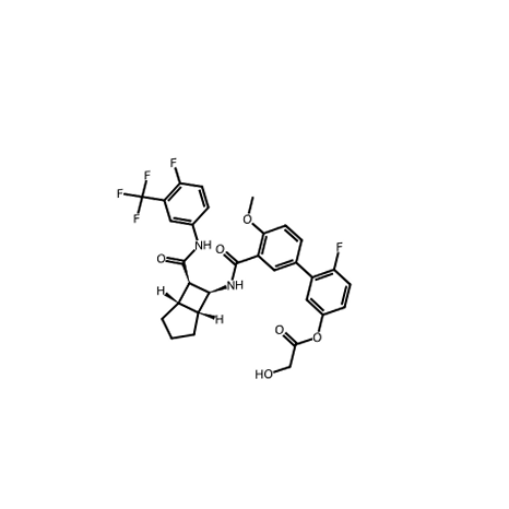 COc1ccc(-c2cc(OC(=O)CO)ccc2F)cc1C(=O)N[C@H]1[C@@H]2CCC[C@@H]2[C@H]1C(=O)Nc1ccc(F)c(C(F)(F)F)c1